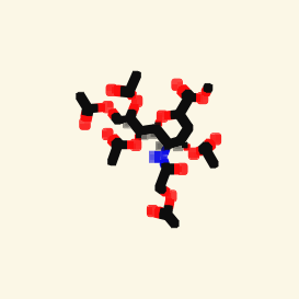 COC(=O)C1C[C@H](OC(C)=O)[C@@H](NC(=O)COC(C)=O)[C@H]([C@H](OC(C)=O)[C@@H](COC(C)=O)OC(C)=O)O1